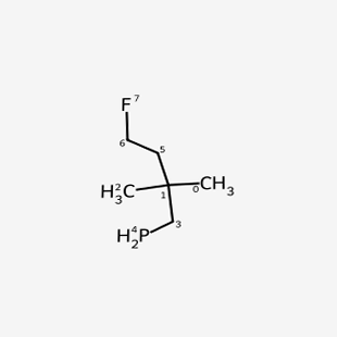 CC(C)(CP)CCF